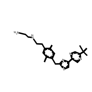 Cc1cc(Cc2nc(-c3cnc(C(C)(C)C)cn3)cs2)c(C)cc1CCNCCN